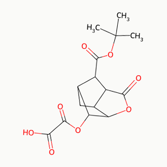 CC(C)(C)OC(=O)C1C2CC3C(OC(=O)C31)C2OC(=O)C(=O)O